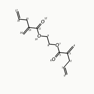 C=CCC(=C)C(=O)OCCOC(=O)C(=C)CC=C